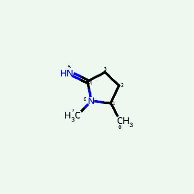 CC1CCC(=N)N1C